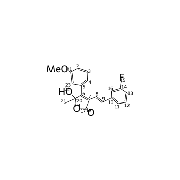 COc1cccc(C2=C(/C=C/c3cccc(F)c3)C(=O)OC2(C)O)c1